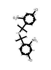 CC(C)(SC(C)(C)c1ccc(Cl)cc1[N+](=O)[O-])c1ccc(Cl)cc1[N+](=O)[O-]